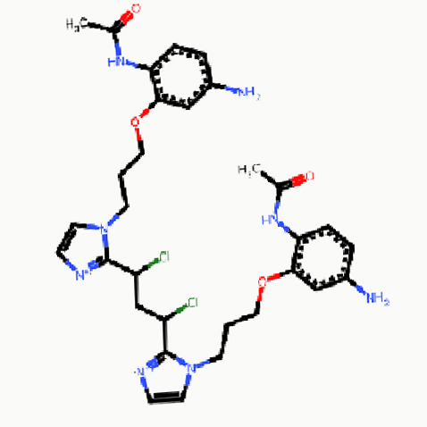 CC(=O)Nc1ccc(N)cc1OCCCN1C=C[N+]=C1C(Cl)CC(Cl)C1=[N+]C=CN1CCCOc1cc(N)ccc1NC(C)=O